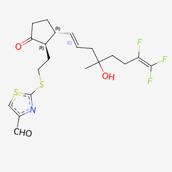 CC(O)(C/C=C/[C@H]1CCC(=O)[C@@H]1CCSc1nc(C=O)cs1)CCC(F)=C(F)F